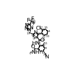 CNC(=O)c1cc(C#N)cc(C)c1NC(=O)c1sc(Cn2nnc(C(F)(F)F)n2)nc1-c1ccccc1Cl